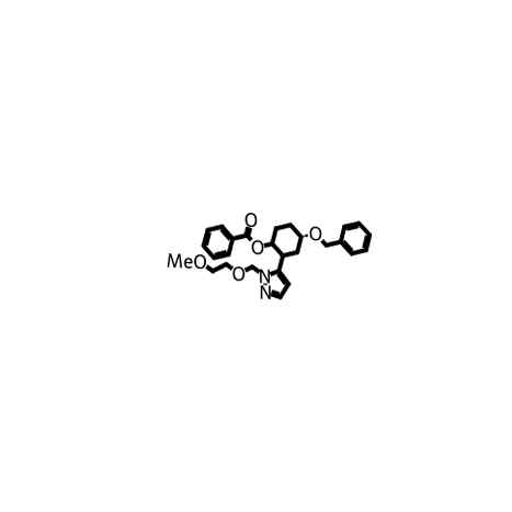 COCCOCn1nccc1C1C[C@@H](OCc2ccccc2)CCC1OC(=O)c1ccccc1